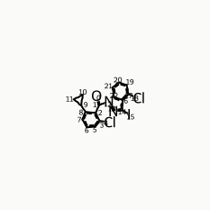 O=C(c1c(Cl)cccc1C1CC1)n1nc(I)c2c(Cl)cccc21